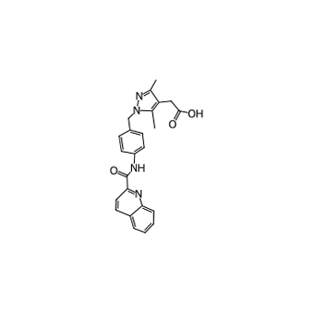 Cc1nn(Cc2ccc(NC(=O)c3ccc4ccccc4n3)cc2)c(C)c1CC(=O)O